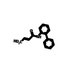 O=C(O)C=CC(=O)Nc1ccccc1-c1ccccc1